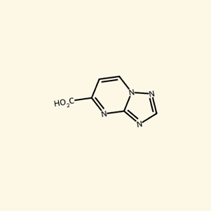 O=C(O)c1ccn2ncnc2n1